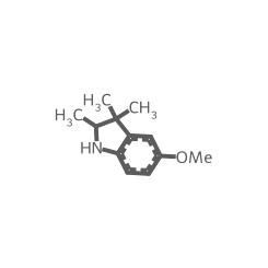 COc1ccc2c(c1)C(C)(C)C(C)N2